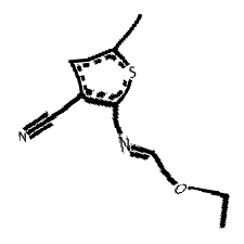 CCOC=Nc1sc(C)cc1C#N